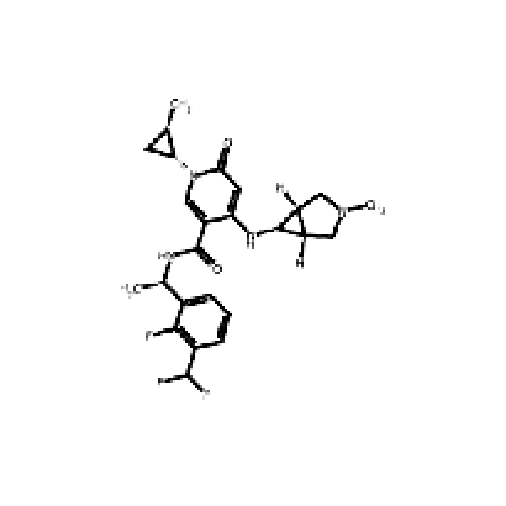 C[C@@H]1C[C@H]1n1cc(C(=O)N[C@H](C)c2cccc(C(F)F)c2F)c(N[C@H]2[C@@H]3CN(C)C[C@@H]32)cc1=O